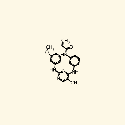 C=CC(=O)Nc1cccc(Nc2nc(Nc3cccc(OC)c3)ncc2C)c1